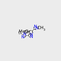 COc1cc(-c2cnn(C)c2)cn2ncc(-c3cnc(C4CCC4)n3C)c12